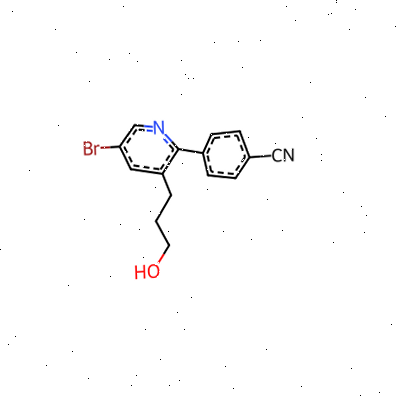 N#Cc1ccc(-c2ncc(Br)cc2CCCO)cc1